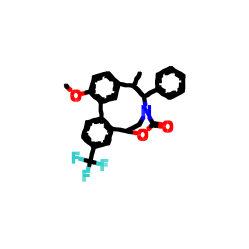 COc1ccc2cc1-c1ccc(C(F)(F)F)cc1C1CN(C(=O)O1)C(c1ccccc1)C2C